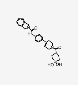 O=C(Nc1ccc(C2=CCN(C(=O)C3CCS(O)(O)CC3)CC2)cc1)N1Cc2ccccc2C1